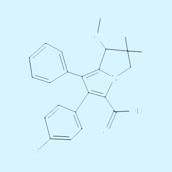 COC1c2c(-c3ccccc3)c(-c3ccc(Cl)cc3)c(C(=O)O)n2CC1(C)C